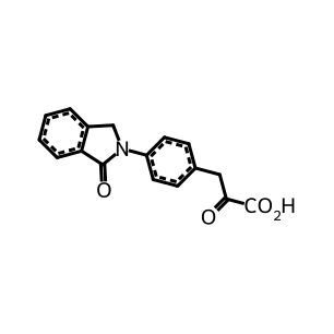 O=C(O)C(=O)Cc1ccc(N2Cc3ccccc3C2=O)cc1